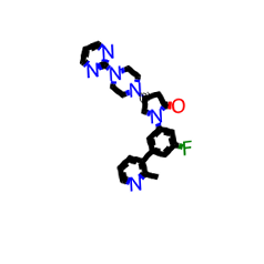 Cc1ncccc1-c1cc(F)cc(N2C[C@H](N3CCN(c4ncccn4)CC3)CC2=O)c1